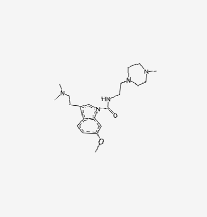 COc1ccc2c(CCN(C)C)cn(C(=O)NCCN3CCN(C)CC3)c2c1